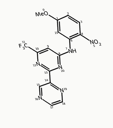 COc1ccc([N+](=O)[O-])c(Nc2cc(C(F)(F)F)nc(-c3cnccn3)n2)c1